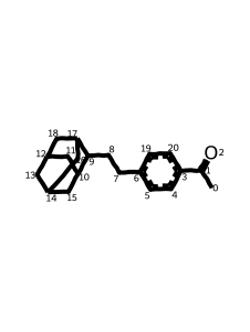 CC(=O)c1ccc(CCC2C3CC4CC(C3)CC2C4)cc1